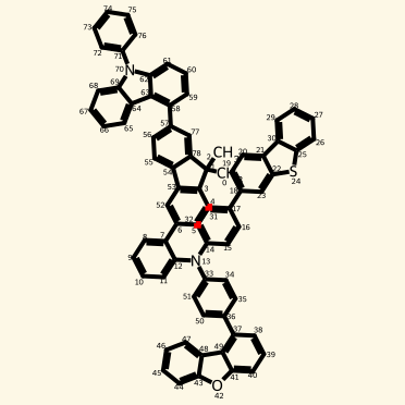 CC1(C)c2ccc(-c3ccccc3N(c3ccc(-c4ccc5c(c4)sc4ccccc45)cc3)c3ccc(-c4cccc5oc6ccccc6c45)cc3)cc2-c2ccc(-c3cccc4c3c3ccccc3n4-c3ccccc3)cc21